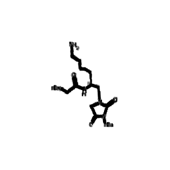 CCCCCCCCCCCC(=O)N[C@@H](CCCCN)CN1CC(=O)N(CCCC)C1=O